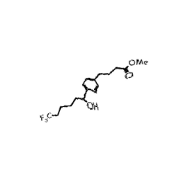 COC(=O)CCCc1ccc(C(O)CCCCC(F)(F)F)cc1